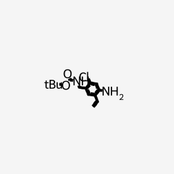 C=Cc1cc(CNC(=O)OC(C)(C)C)c(Cl)cc1N